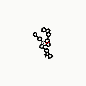 CC1(C)c2ccccc2-c2ccc(-c3cccc(N(c4ccc(-c5ccccc5)cc4)c4cccc(-c5ccc6ccc7ccccc7c6c5)c4)c3-c3ccccc3)cc21